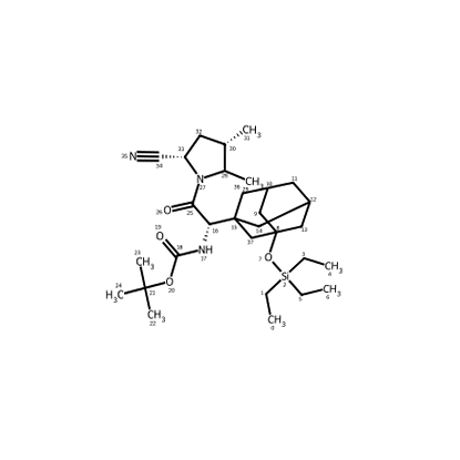 CC[Si](CC)(CC)OC12CC3CC(C1)CC([C@H](NC(=O)OC(C)(C)C)C(=O)N1C(C)[C@@H](C)C[C@H]1C#N)(C3)C2